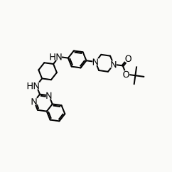 CC(C)(C)OC(=O)N1CCN(c2ccc(NC3CCC(Nc4ncc5ccccc5n4)CC3)cc2)CC1